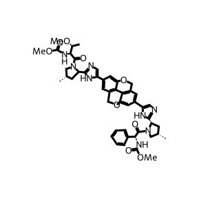 COC(=O)N[C@H](C(=O)N1C[C@@H](C)CC1c1ncc(-c2cc3c4c(c2)OCc2cc(-c5cnc([C@@H]6C[C@H](C)CN6C(=O)[C@H](NC(=O)OC)c6ccccc6)[nH]5)cc(c2-4)OC3)[nH]1)[C@@H](C)OC